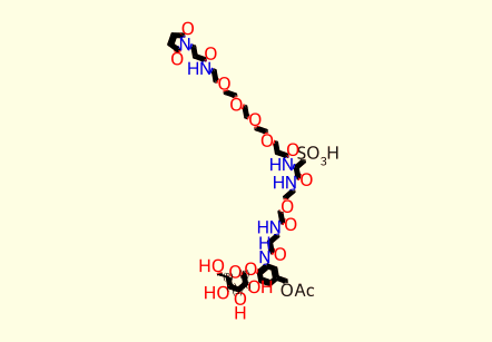 CC(=O)OCc1ccc(O[C@@H]2O[C@H](CO)[C@H](O)[C@H](O)[C@H]2O)c(NC(=O)CCNC(=O)COCCNC(=O)C(CS(=O)(=O)O)NC(=O)CCOCCOCCOCCOCCNC(=O)CCN2C(=O)C=CC2=O)c1